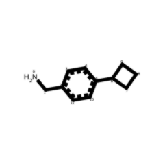 NCc1ccc([C]2CCC2)cc1